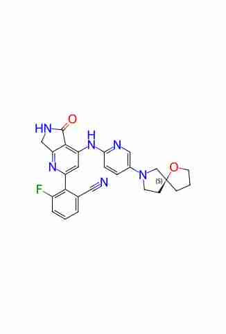 N#Cc1cccc(F)c1-c1cc(Nc2ccc(N3CC[C@@]4(CCCO4)C3)cn2)c2c(n1)CNC2=O